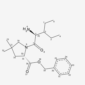 CCC(CC)[C@H](N)C(=O)N1CC(C)(C)C[C@H]1C(=O)OCc1ccccc1